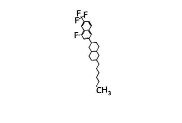 CCCCCCCC1CCC2CC(c3cc(F)c4cc(C(F)(F)F)ccc4c3)CCC2C1